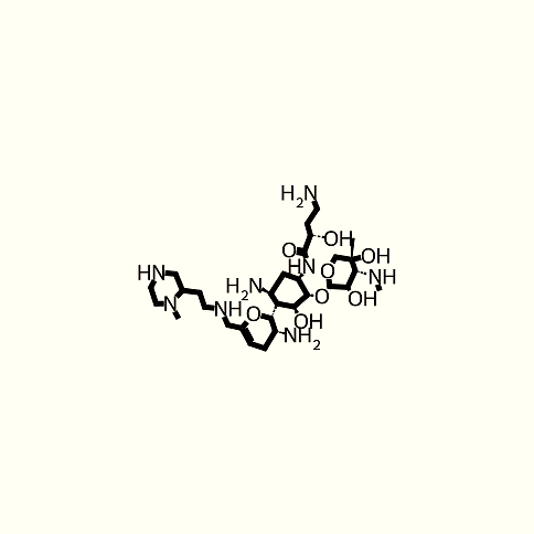 CN[C@@H]1[C@@H](O)[C@@H](O[C@H]2[C@H](NC(=O)[C@@H](O)CCN)C[C@H](N)C([C@H]3OC(CNCCC4CNCCN4C)=CC[C@H]3N)[C@@H]2O)OC[C@]1(C)O